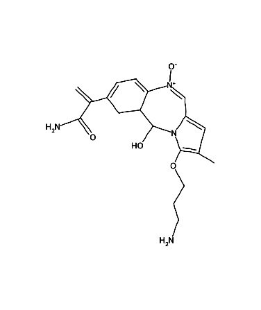 C=C(C(N)=O)C1=CC=C2C(C1)C(O)n1c(cc(C)c1OCCCN)C=[N+]2[O-]